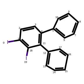 Ic1ccc(-c2ccccc2)c(-c2ccccc2)c1I